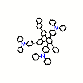 C1=CCCC(N(c2ccccc2)c2ccc(-c3ccc4c(c3)c3cc(-c5ccc6ccccc6c5)ccc3c3c(-c5ccc(N(c6ccccc6)c6ccccc6)cc5)cc(C5C=CCCC5)c(-c5ccc(N(c6ccccc6)C6C=CC=CC6)cc5)c43)cc2)=C1